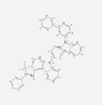 CC1(C)C(c2ccccc2)=Nc2c1ccc1c2c2ccccc2n1-c1ccc2c(c1)c1ccccc1n2-c1cccc(-c2ccccc2)c1